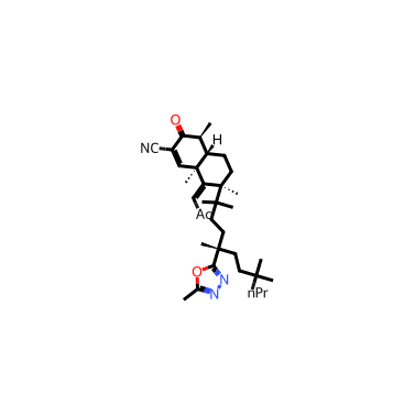 CCCC(C)(C)CC[C@@](C)(CCC(C)(C)[C@]1(C)CC[C@H]2[C@H](C)C(=O)C(C#N)=C[C@]2(C)/C1=C/C(C)=O)c1nnc(C)o1